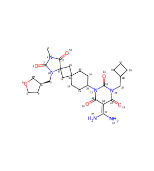 CN1C(=O)N(C[C@H]2CCOC2)C2(CC3(CCC(N4C(=O)C(=C(N)N)C(=O)N(CC5CCC5)C4=O)CC3)C2)C1=O